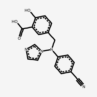 N#Cc1ccc(N(Cc2ccc(O)c(C(=O)O)c2)n2ccnc2)cc1